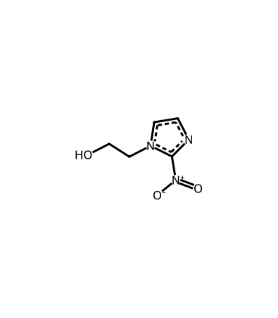 O=[N+]([O-])c1nccn1CCO